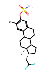 CCc1cc2c(cc1OS(N)(=O)=O)CCC1C2CC[C@@]2(C)C1CC[C@@H]2CC(F)F